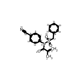 C=C(C)C(=O)N(c1ccc(C#N)cc1)S(=O)(=O)Cc1ccccc1